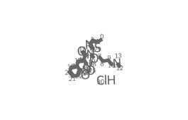 Cc1cnc(N(OCCCCN(C)C)C(=O)C2=Cc3ccccc3S(=O)(=O)N2C)s1.Cl